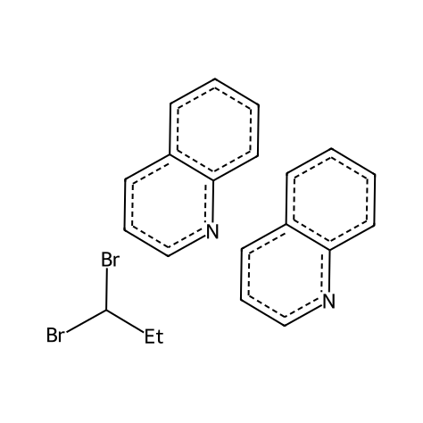 CCC(Br)Br.c1ccc2ncccc2c1.c1ccc2ncccc2c1